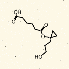 O=C(O)CCCCC(=O)OC1(CCCO)CC1